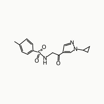 Cc1ccc(S(=O)(=O)NCC(=O)c2cnn(C3CC3)c2)cc1